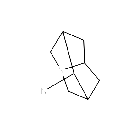 NC1C2CC3CC1CN3C2